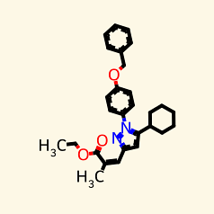 CCOC(=O)C(C)=Cc1cc(C2CCCCC2)n(-c2ccc(OCc3ccccc3)cc2)n1